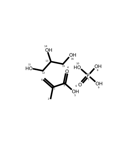 C=C(C)C(=O)O.O=P(O)(O)O.OCC(O)CO